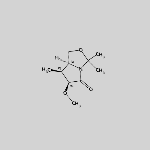 CO[C@@H]1C(=O)N2[C@H](COC2(C)C)[C@@H]1C